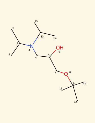 CC(C)N(CC(O)COC(C)(C)C)C(C)C